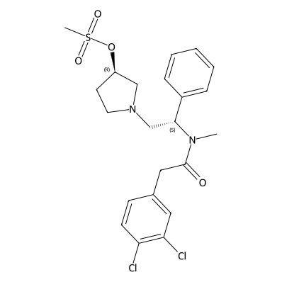 CN(C(=O)Cc1ccc(Cl)c(Cl)c1)[C@H](CN1CC[C@@H](OS(C)(=O)=O)C1)c1ccccc1